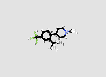 CC(C)c1cc(C(F)(F)F)ccc1C1CCN(C)CC1